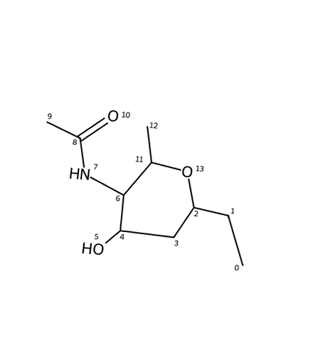 CCC1CC(O)C(NC(C)=O)C(C)O1